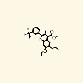 CCOc1cc2nc(-c3cccc(C(F)(F)F)c3)c(C)c(C(=O)OC)c2cc1SCC